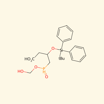 CC(C)(C)[Si](OC(CC(=O)O)C[PH](=O)OCO)(c1ccccc1)c1ccccc1